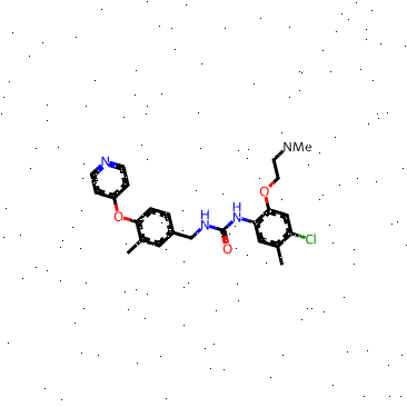 CNCCOc1cc(Cl)c(C)cc1NC(=O)NCc1ccc(Oc2ccncc2)c(C)c1